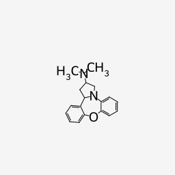 CN(C)C1CC2c3ccccc3Oc3ccccc3N2C1